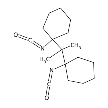 CC(C)(C1(N=C=O)CCCCC1)C1(N=C=O)CCCCC1